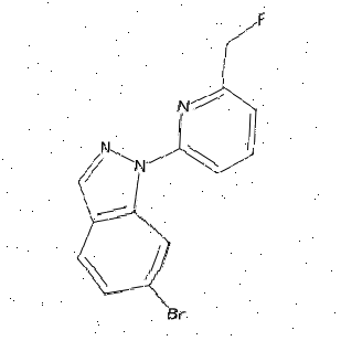 FCc1cccc(-n2ncc3ccc(Br)cc32)n1